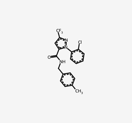 Cc1ccc(CNC(=O)c2cc(C(F)(F)F)nn2-c2ccccc2Cl)cc1